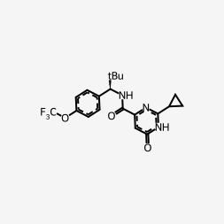 CC(C)(C)[C@@H](NC(=O)c1cc(=O)[nH]c(C2CC2)n1)c1ccc(OC(F)(F)F)cc1